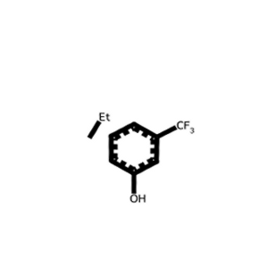 CCC.Oc1cccc(C(F)(F)F)c1